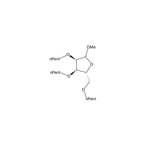 CCCCCOC[C@H]1OC(OC)[C@H](OCCCCC)[C@@H]1OCCCCC